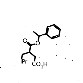 CC(C)CC(CC(=O)O)C(=O)OC(C)c1ccccc1